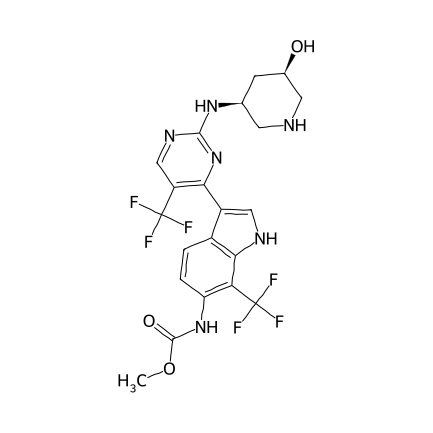 COC(=O)Nc1ccc2c(-c3nc(N[C@@H]4CNC[C@H](O)C4)ncc3C(F)(F)F)c[nH]c2c1C(F)(F)F